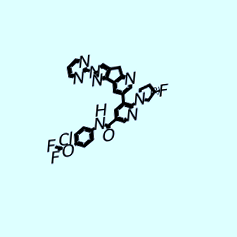 O=C(Nc1ccc(OC(F)(F)Cl)cc1)c1cnc(N2CC[C@@H](F)C2)c(-c2cnc3c(c2)-c2nn(-c4ncccn4)cc2C3)c1